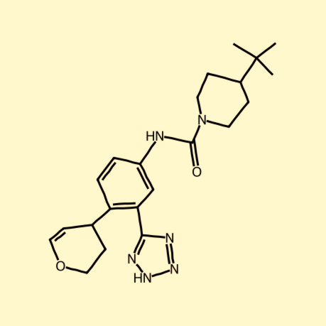 CC(C)(C)C1CCN(C(=O)Nc2ccc(C3C=COCC3)c(-c3nn[nH]n3)c2)CC1